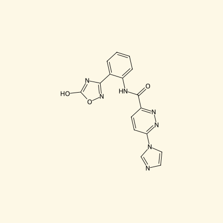 O=C(Nc1ccccc1-c1noc(O)n1)c1ccc(-n2ccnc2)nn1